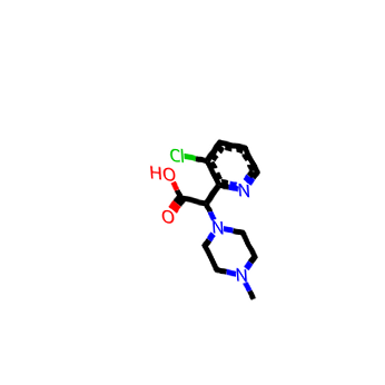 CN1CCN(C(C(=O)O)c2ncccc2Cl)CC1